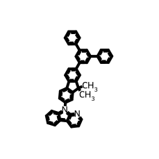 CC1(C)c2cc(-c3cc(-c4ccccc4)cc(-c4ccccc4)c3)ccc2-c2ccc(-n3c4ccccc4c4cccnc43)cc21